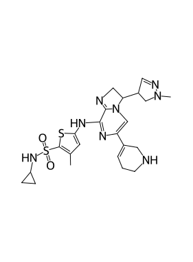 Cc1cc(NC2=NC(C3=CCCNC3)=CN3C2=NCC3C2C=NN(C)C2)sc1S(=O)(=O)NC1CC1